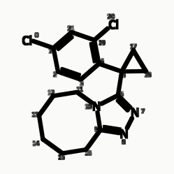 Clc1ccc(C2(c3nnc4n3CCCCCC4)CC2)c(Cl)c1